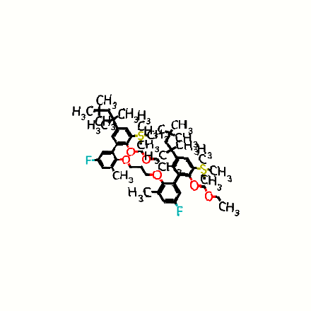 CCOCOc1c(-c2cc(F)cc(C)c2OCCCOc2c(C)cc(F)cc2-c2cc(C(C)(C)CC(C)(C)C)cc(S(C)(C)C)c2OCOCC)cc(C(C)(C)CC(C)(C)C)cc1S(C)(C)C